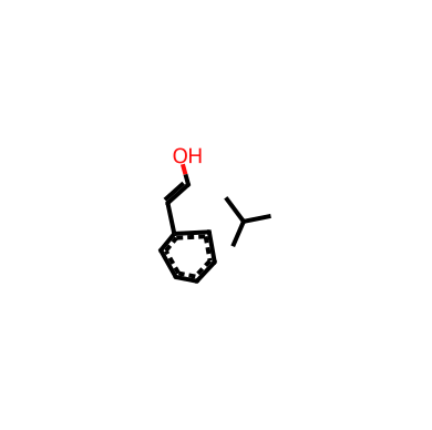 CC(C)C.OC=Cc1ccccc1